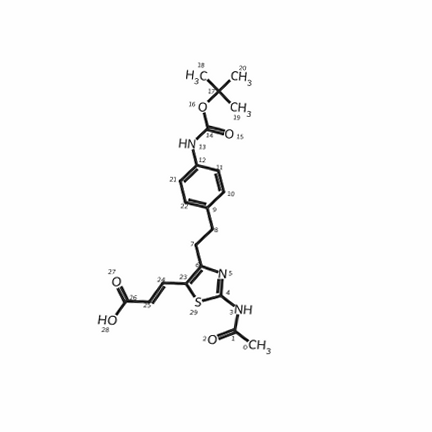 CC(=O)Nc1nc(CCc2ccc(NC(=O)OC(C)(C)C)cc2)c(/C=C/C(=O)O)s1